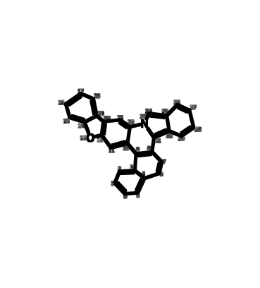 c1ccc2c(c1)ccc1c2c2cc3oc4ccccc4c3cc2n2cc3ccccc3c12